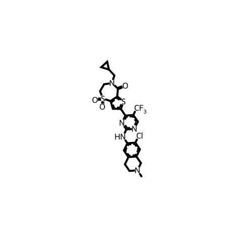 CN1CCc2cc(Nc3ncc(C(F)(F)F)c(-c4cc5c(s4)C(=O)N(CC4CC4)CCS5(=O)=O)n3)c(Cl)cc2C1